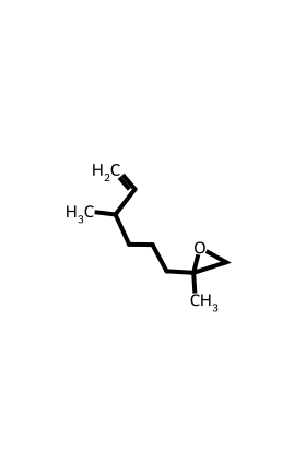 C=CC(C)CCCC1(C)CO1